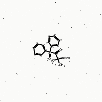 CCCCCCC(C)(C)C(=O)P(=O)(c1ccccc1)c1ccccc1